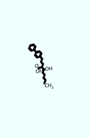 CCCCCCC(O)C(CCCc1ccc(-c2ccccc2)cc1)C(=O)O